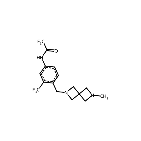 CN1CC2(C1)CN(Cc1ccc(NC(=O)C(F)(F)F)cc1C(F)(F)F)C2